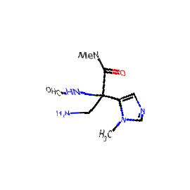 CNC(=O)C(CN)(NC=O)c1cncn1C